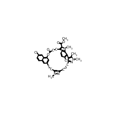 COC(=O)c1c2c3ccc(Cl)c(c3n1C)-c1c(nn(C)c1C)CSCc1cc(n(C)n1)CSc1cc(c3cc(Cl)ccc3c1)OC(=O)CC2